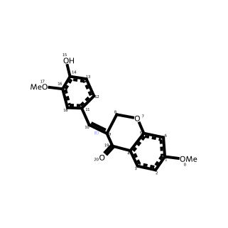 COc1ccc2c(c1)OC/C(=C\c1ccc(O)c(OC)c1)C2=O